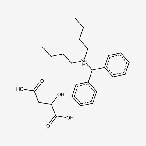 CCC[CH2][SnH]([CH2]CCC)[CH](c1ccccc1)c1ccccc1.O=C(O)CC(O)C(=O)O